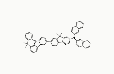 CC1(C)c2cc(-c3ccc4c(c3)c3cccc5c3n4-c3ccccc3C5(C)C)ccc2-c2ccc(N(c3ccc4c(c3)CCC=C4)c3ccc4ccccc4c3)cc21